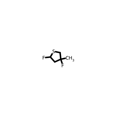 CC1(F)CSC(F)C1